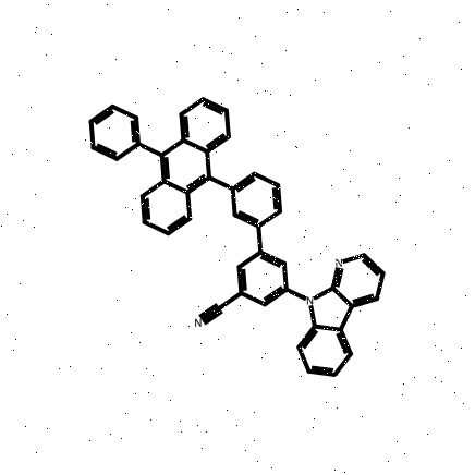 N#Cc1cc(-c2cccc(-c3c4ccccc4c(-c4ccccc4)c4ccccc34)c2)cc(-n2c3ccccc3c3cccnc32)c1